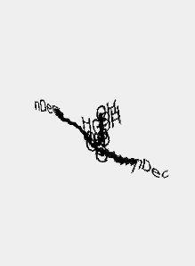 CCCCCCCCCCCC=CCCCCCCCCC(=O)OC[C@H](COP(=O)(O)OC[C@@H](O)[C@@H](O)[C@H](O)CO)OC(=O)CCCCCCCC/C=C\CCCCCCCCCCC